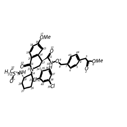 COC(=O)Cc1ccc(CONC(=O)[C@@H]2c3cc(OC)ccc3C(=O)N(C3CCCC[C@@H]3N[S+](C)[O-])[C@H]2c2ccc(Cl)cc2Cl)cc1